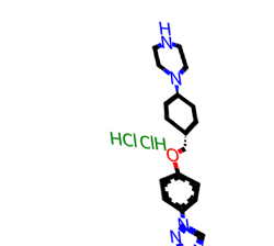 Cl.Cl.c1cc(-n2cnnn2)ccc1OC[C@H]1CC[C@H](N2CCNCC2)CC1